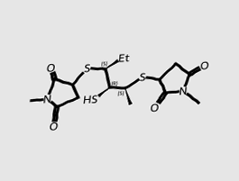 CC[C@H](SC1CC(=O)N(C)C1=O)[C@H](S)[C@H](C)SC1CC(=O)N(C)C1=O